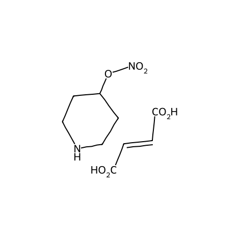 O=C(O)C=CC(=O)O.O=[N+]([O-])OC1CCNCC1